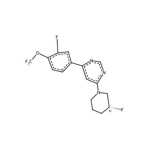 Fc1cc(-c2cc(N3CCC[C@@H](F)C3)ncn2)ccc1OC(F)(F)F